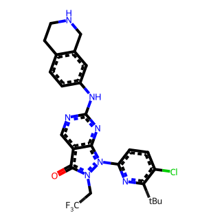 CC(C)(C)c1nc(-n2c3nc(Nc4ccc5c(c4)CNCC5)ncc3c(=O)n2CC(F)(F)F)ccc1Cl